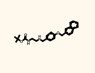 CC(C)(C)OC(=O)NCCNCc1ccc(OCc2ccc3ccccc3c2)cc1